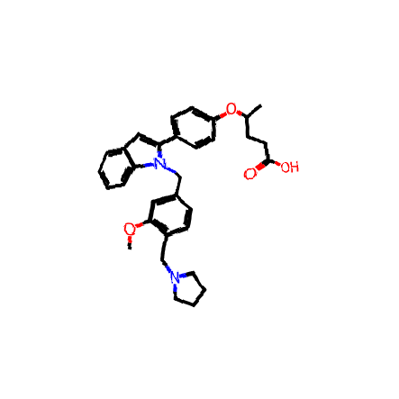 COc1cc(Cn2c(-c3ccc(OC(C)CCC(=O)O)cc3)cc3ccccc32)ccc1CN1CCCC1